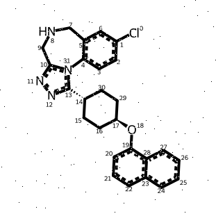 Clc1ccc2c(c1)CNCc1nnc([C@H]3CC[C@H](Oc4cccc5ccccc45)CC3)n1-2